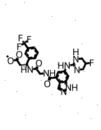 COC(=O)C[C@H](NC(=O)CNC(=O)c1cc(NC2=NCC(F)CN2)cc2[nH]ncc12)c1cccc(C(F)(F)F)c1